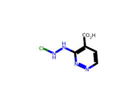 O=C(O)c1ccnnc1NNCl